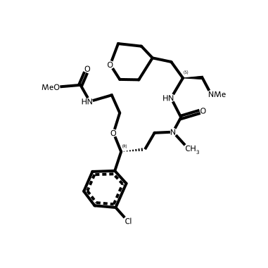 CNC[C@H](CC1CCOCC1)NC(=O)N(C)CC[C@@H](OCCNC(=O)OC)c1cccc(Cl)c1